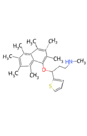 CNCCC(Oc1c(C)c(C)c(C)c2c(C)c(C)c(C)c(C)c12)c1cccs1